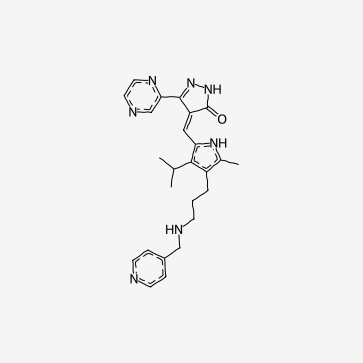 Cc1[nH]c(C=C2C(=O)NN=C2c2cnccn2)c(C(C)C)c1CCCNCc1ccncc1